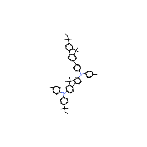 CCC(C)(C)c1ccc(N(c2ccc(C)cc2)c2ccc3c(c2)C(C)(C)c2cc(N(c4ccc(C)cc4)c4ccc(-c5ccc6c(c5)C(C)(C)c5cc(C(C)(C)CC)ccc5-6)cc4)ccc2-3)cc1